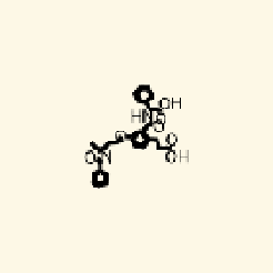 Cc1oc(-c2ccccc2)nc1CCOc1ccc(CCC(=O)O)c(C(=O)N[C@H](C(=O)O)c2ccccc2)c1